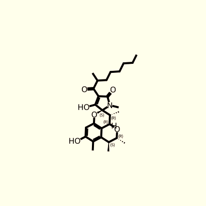 CCCCCCC(C)C(=O)C1=C(O)[C@]2(Oc3cc(O)c(C)c4c3[C@H](O[C@H](C)[C@H]4C)[C@H]2C)N(C)C1=O